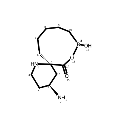 N[C@H]1CCN[C@]2(CCCCCB(O)OC2=O)C1